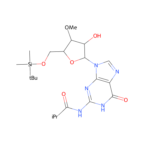 COC1C(CO[Si](C)(C)C(C)(C)C)OC(n2cnc3c(=O)[nH]c(NC(=O)C(C)C)nc32)C1O